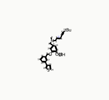 CN(C/C=C/C#CC(C)(C)C)Cc1ccc(O)c(OCc2cccc(-c3ccsc3)c2)c1.Cl